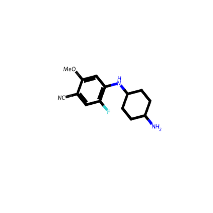 COc1cc(NC2CCC(N)CC2)c(F)cc1C#N